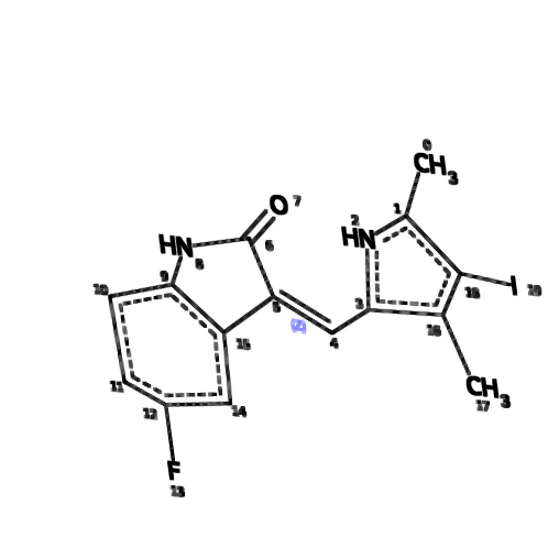 Cc1[nH]c(/C=C2\C(=O)Nc3ccc(F)cc32)c(C)c1I